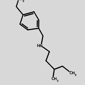 CCC(C)CCNCc1ccc(CN)cc1